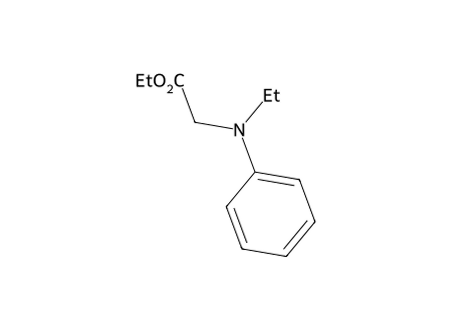 CCOC(=O)CN(CC)c1ccccc1